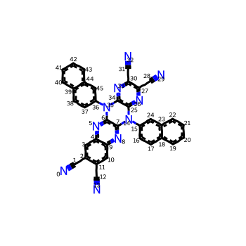 N#Cc1cc2nc3c(nc2cc1C#N)N(c1ccc2ccccc2c1)c1nc(C#N)c(C#N)nc1N3c1ccc2ccccc2c1